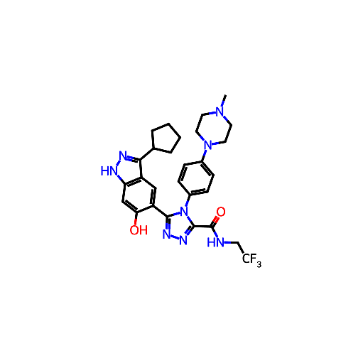 CN1CCN(c2ccc(-n3c(C(=O)NCC(F)(F)F)nnc3-c3cc4c(C5CCCC5)n[nH]c4cc3O)cc2)CC1